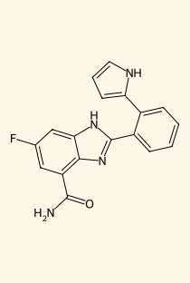 NC(=O)c1cc(F)cc2[nH]c(-c3ccccc3-c3ccc[nH]3)nc12